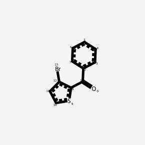 O=C(c1ccccc1)c1sccc1Br